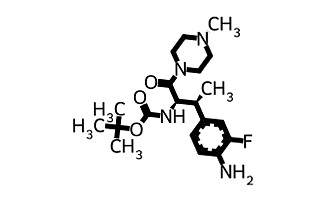 C[C@@H](c1ccc(N)c(F)c1)[C@@H](NC(=O)OC(C)(C)C)C(=O)N1CCN(C)CC1